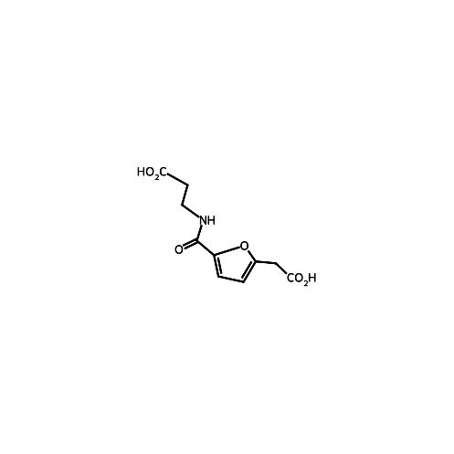 O=C(O)CCNC(=O)c1ccc(CC(=O)O)o1